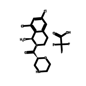 C[C@H]1c2c(Cl)cc(Cl)cc2CCN1C(=O)[C@H]1CNCCO1.O=C(O)C(F)(F)F